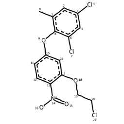 Cc1cc(Cl)cc(Cl)c1Oc1ccc([N+](=O)[O-])c(OCCCl)c1